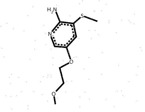 COCCOc1cnc(N)c(SC)c1